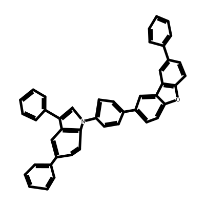 c1ccc(-c2ccc3c(c2)c(-c2ccccc2)cn3-c2ccc(-c3ccc4oc5ccc(-c6ccccc6)cc5c4c3)cc2)cc1